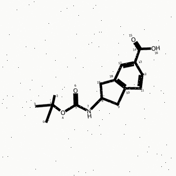 CC(C)(C)OC(=O)NC1Cc2ccc(C(=O)O)cc2C1